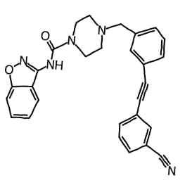 N#Cc1cccc(C#Cc2cccc(CN3CCN(C(=O)Nc4noc5ccccc45)CC3)c2)c1